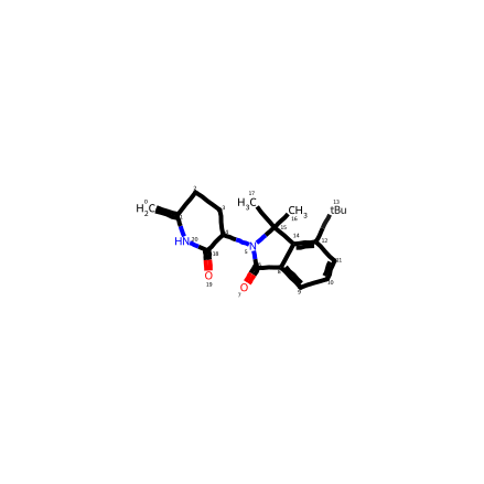 C=C1CCC(N2C(=O)c3cccc(C(C)(C)C)c3C2(C)C)C(=O)N1